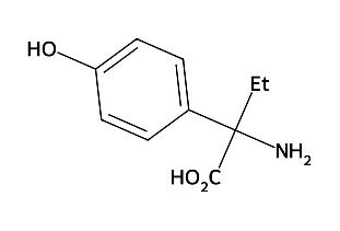 CCC(N)(C(=O)O)c1ccc(O)cc1